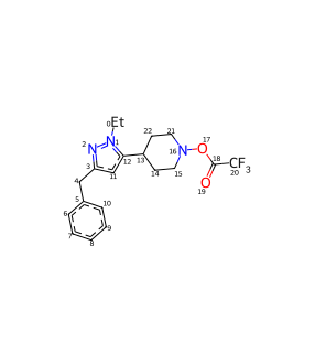 CCn1nc(Cc2ccccc2)cc1C1CCN(OC(=O)C(F)(F)F)CC1